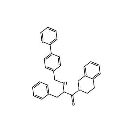 O=C(C(Cc1ccccc1)NCc1ccc(-c2ccccn2)cc1)N1CCc2ccccc2C1